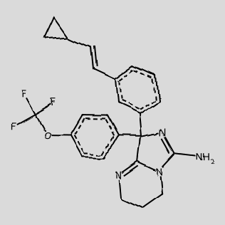 NC1=NC(c2ccc(OC(F)(F)F)cc2)(c2cccc(/C=C/C3CC3)c2)C2=NCCCN12